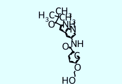 CC(C)(C)C(=O)c1cc2cc(NC(=O)c3ccc(OCCO)cc3)cnc2[nH]1